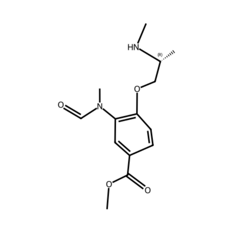 CN[C@H](C)COc1ccc(C(=O)OC)cc1N(C)C=O